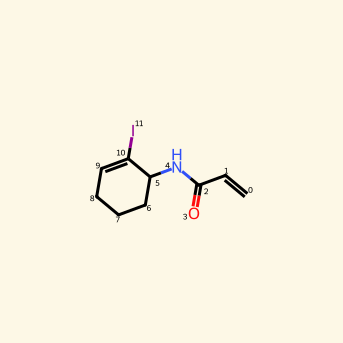 C=CC(=O)NC1CCCC=C1I